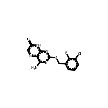 Nc1nc(SCc2cccc(Cl)c2F)nc2[nH]c(=O)cnc12